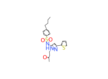 CCCCc1ccc(S(=O)(=O)Nc2cc(-c3cccs3)nn2CCC(C)=O)cc1